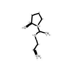 C=CCOC(C)N1CCCC1=O